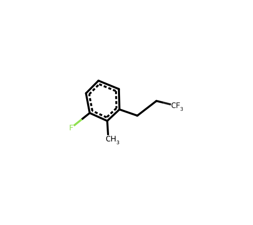 Cc1c(F)cccc1CCC(F)(F)F